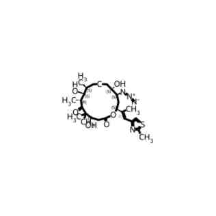 C/C(=C\c1csc(C)n1)[C@@H]1C[C@H](N=[N+]=[N-])[C@@H](O)CCC[C@H](C)[C@H](O)[C@@H](C)C(=O)C(C)(C)[C@@H](O)CC(=O)O1